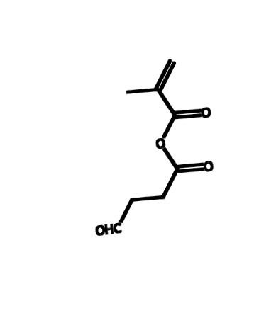 C=C(C)C(=O)OC(=O)CCC=O